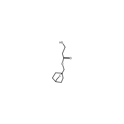 O=C(CCS)OCC12CCC(CC1)CC2